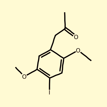 COc1cc(CC(C)=O)c(OC)cc1I